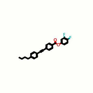 CCCCc1ccc(C#Cc2ccc(C(=O)Oc3ccc(F)c(F)c3)cc2)cc1